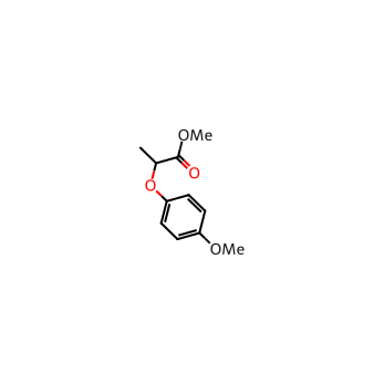 COC(=O)C(C)Oc1ccc(OC)cc1